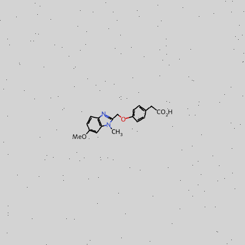 COc1ccc2nc(COc3ccc(CC(=O)O)cc3)n(C)c2c1